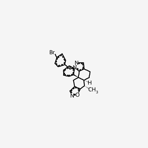 C[C@@H]1c2oncc2C[C@]2(c3ccccc3)c3c(cnn3Cc3ccc(Br)cc3)CC[C@@H]12